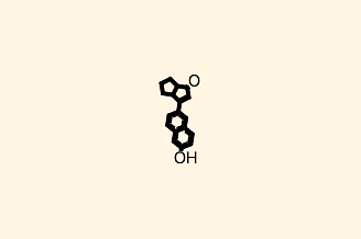 O=C1C=C(c2ccc3cc(O)ccc3c2)C2CCCC12